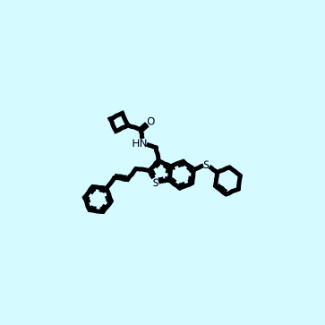 O=C(NCc1c(C/C=C/c2ccccc2)sc2ccc(SC3C=CCCC3)cc12)C1CCC1